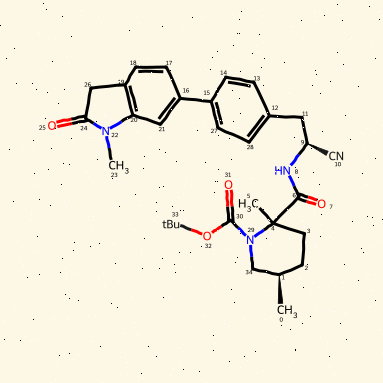 C[C@@H]1CCC(C)(C(=O)N[C@H](C#N)Cc2ccc(-c3ccc4c(c3)N(C)C(=O)C4)cc2)N(C(=O)OC(C)(C)C)C1